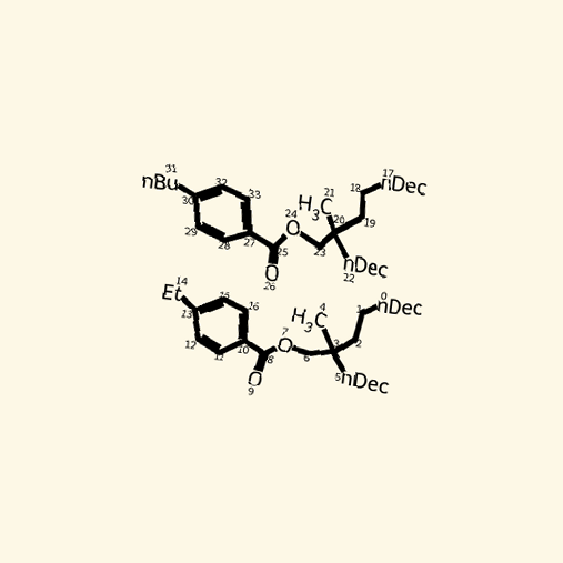 CCCCCCCCCCCCC(C)(CCCCCCCCCC)COC(=O)c1ccc(CC)cc1.CCCCCCCCCCCCC(C)(CCCCCCCCCC)COC(=O)c1ccc(CCCC)cc1